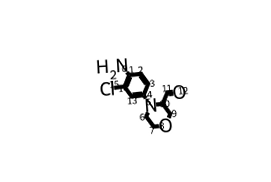 Nc1ccc(N2CCOCC2C=O)cc1Cl